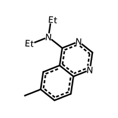 CCN(CC)c1ncnc2ccc(C)cc12